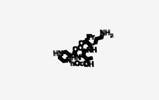 CCCCCCCCN1CCNC[C@H]1C(=O)N[C@H](C(=O)N[C@@H](CCCN)C(=O)C(C)C)C(C)O